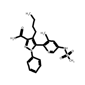 CCCCc1c(C(N)=O)nn(-c2ccccc2)c1-c1ncc(NS(C)(=O)=O)cc1C